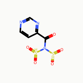 O=C(c1ccncn1)N([SH](=O)=O)[SH](=O)=O